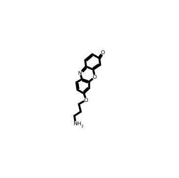 NCCCOc1ccc2nc3ccc(=O)cc-3oc2c1